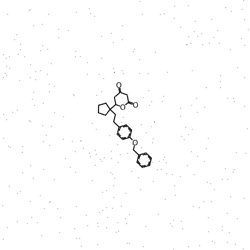 O=C1CC(=O)OC(C2(CCc3ccc(OCc4ccccc4)cc3)CCCC2)C1